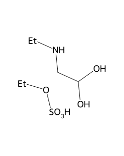 CCNCC(O)O.CCOS(=O)(=O)O